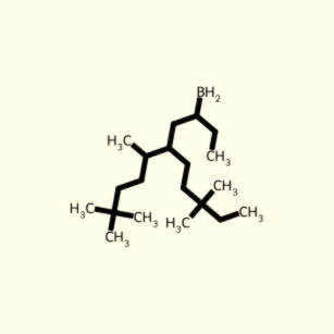 BC(CC)CC(CCC(C)(C)CC)C(C)CCC(C)(C)C